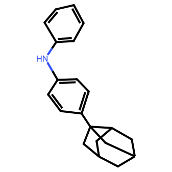 c1ccc(Nc2ccc(C34CC5CC(CC3C5)C4)cc2)cc1